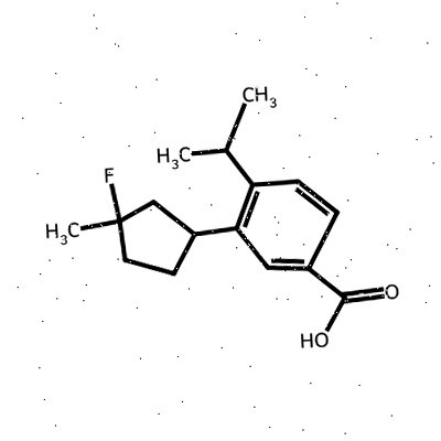 CC(C)c1ccc(C(=O)O)cc1C1CCC(C)(F)C1